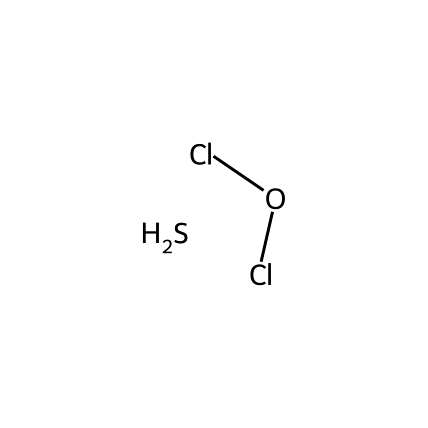 ClOCl.S